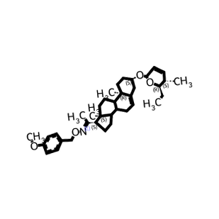 CC[C@H]1OC(O[C@H]2CC[C@@]3(C)C(=CCC4C3CC[C@@]3(C)C4CC[C@@H]3/C(C)=N/OCc3ccc(OC)cc3)C2)C=C[C@@H]1C